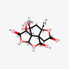 CC(C)(C)C1(O)C[C@@H]2OC(=O)CC23C(=O)OC2OC(=O)C(O)C231